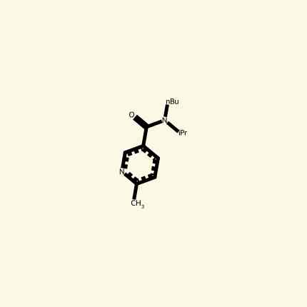 CCCCN(C(=O)c1ccc(C)nc1)C(C)C